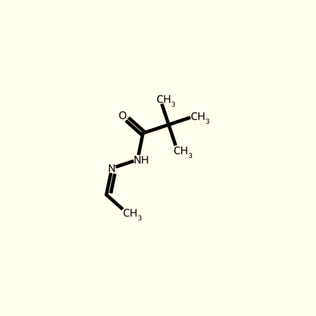 C/C=N\NC(=O)C(C)(C)C